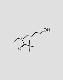 CCN(CCCCO)C(=O)C(C)(C)C